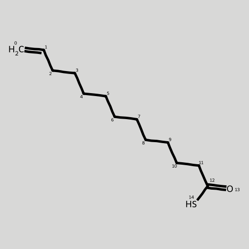 C=CCCCCCCCCCCC(=O)S